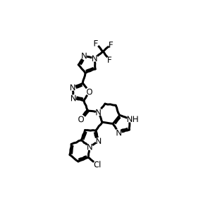 O=C(c1nnc(-c2cnn(C(F)(F)F)c2)o1)N1CCc2[nH]cnc2C1c1cc2cccc(Cl)n2n1